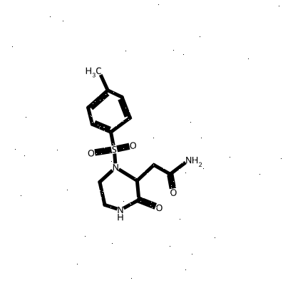 Cc1ccc(S(=O)(=O)N2CCNC(=O)C2CC(N)=O)cc1